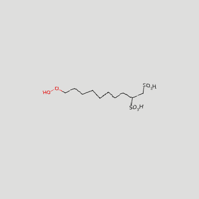 O=S(=O)(O)CC(CCCCCCCCOO)S(=O)(=O)O